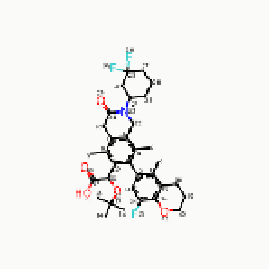 Cc1c(-c2c(C)c3c(c(C)c2C(OC(C)(C)C)C(=O)O)CC(=O)N(C2CCCC(F)(F)C2)C3)cc(F)c2c1CCCO2